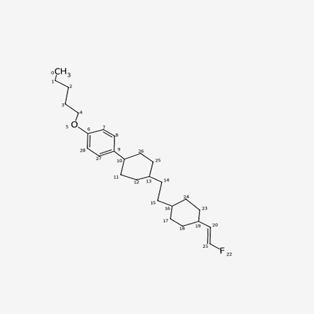 CCCCCOc1ccc(C2CCC(CCC3CCC(C=CF)CC3)CC2)cc1